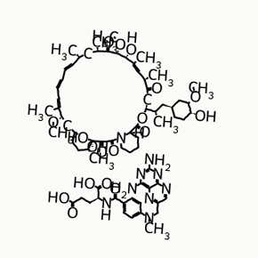 CN(Cc1cnc2nc(N)nc(N)c2n1)c1ccc(C(=O)N[C@@H](CCC(=O)O)C(=O)O)cc1.CO[C@H]1C[C@@H]2CC[C@@H](C)[C@@](O)(O2)C(=O)C(=O)N2CCCC[C@H]2C(=O)O[C@H]([C@H](C)C[C@@H]2CC[C@@H](O)[C@H](OC)C2)CC(=O)[C@H](C)/C=C(\C)[C@@H](O)[C@@H](OC)C(=O)[C@H](C)C[C@H](C)/C=C/C=C/C=C/1C